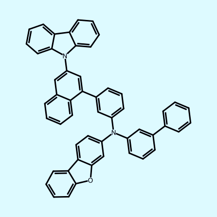 c1ccc(-c2cccc(N(c3cccc(-c4cc(-n5c6ccccc6c6ccccc65)cc5ccccc45)c3)c3ccc4c(c3)oc3ccccc34)c2)cc1